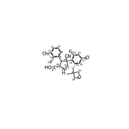 CC1(C[C@@H]2N[C@@H](C(=O)O)C(c3cccc(Cl)c3F)C2(C#N)c2ccc(Cl)cc2F)COC1